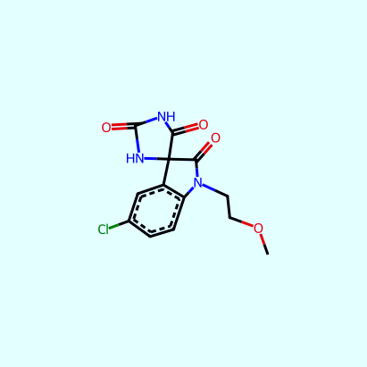 COCCN1C(=O)C2(NC(=O)NC2=O)c2cc(Cl)ccc21